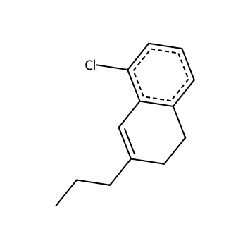 CCCC1=Cc2c(Cl)cccc2CC1